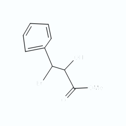 CCC(c1ccccc1)C(O)C(=O)OC